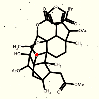 COC(=O)CC1C2(C)CC34OC5(C)OC67C(C(C(=O)C(C)C)C(=O)OC6C3(O)C2OC(C)=O)C(C)(C(OC(C)=O)c2ccoc2)CCC7(O5)C14C